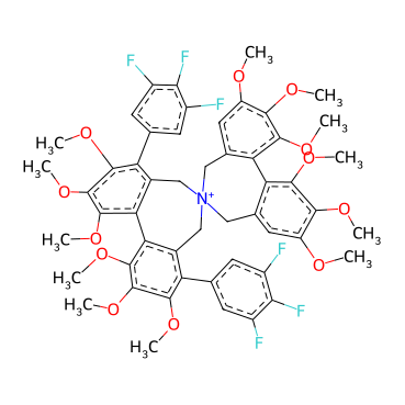 COc1cc2c(c(OC)c1OC)-c1c(cc(OC)c(OC)c1OC)C[N+]1(C2)Cc2c(-c3cc(F)c(F)c(F)c3)c(OC)c(OC)c(OC)c2-c2c(c(-c3cc(F)c(F)c(F)c3)c(OC)c(OC)c2OC)C1